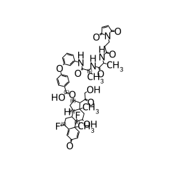 CC(NC(=O)CCN1C(=O)C=CC1=O)C(=O)N[C@@H](C)C(=O)Nc1cccc(Oc2ccc([C@@H](O)O[C@@H]3C[C@H]4C5C[C@H](F)C6=CC(=O)C=CC6(C)[C@@]5(F)C(O)CC4(C)C3C(=O)CO)cc2)c1